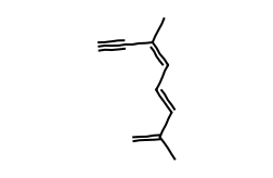 C#CC(C)=CC=CC(=C)C